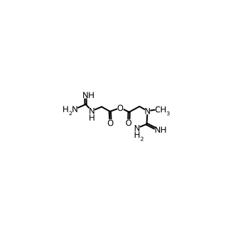 CN(CC(=O)OC(=O)CNC(=N)N)C(=N)N